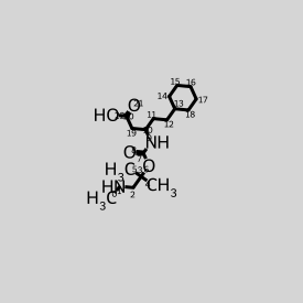 CNCC(C)(C)OC(=O)NC(CCC1CCCCC1)CC(=O)O